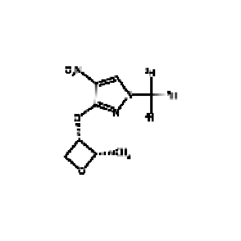 [2H]C([2H])([2H])n1cc([N+](=O)[O-])c(O[C@H]2CO[C@H]2C)n1